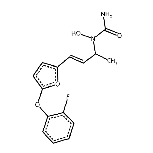 CC(C=Cc1ccc(Oc2ccccc2F)o1)N(O)C(N)=O